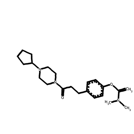 C=C(Oc1ccc(CCC(=O)N2CCN(C3CCCC3)CC2)cc1)N(C)C